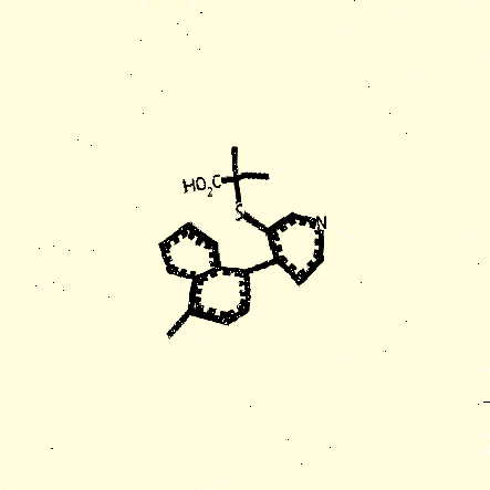 Cc1ccc(-c2ccncc2SC(C)(C)C(=O)O)c2ccccc12